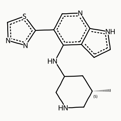 C[C@@H]1CNCC(Nc2c(-c3nncs3)cnc3[nH]ccc23)C1